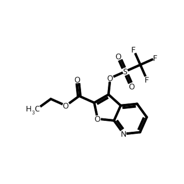 CCOC(=O)c1oc2ncccc2c1OS(=O)(=O)C(F)(F)F